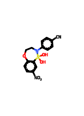 N#Cc1ccc(N2CCOc3ccc([N+](=O)[O-])cc3S2(O)O)cc1